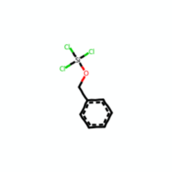 Cl[Si](Cl)(Cl)OCc1ccccc1